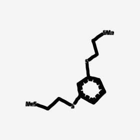 CSCCSc1cccc(SCCSC)c1